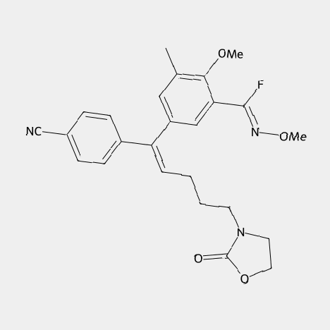 CON=C(F)c1cc(/C(=C\CCCN2CCOC2=O)c2ccc(C#N)cc2)cc(C)c1OC